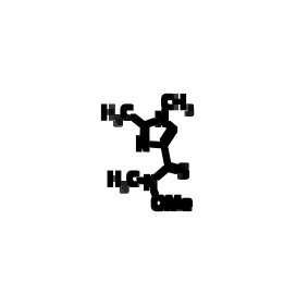 CON(C)C(=S)c1cn(C)c(C)n1